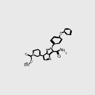 CC(C)(C)OC(=O)N1CCC=C(c2ccnc3c(C(N)=O)n(-c4ccc(Oc5ccccc5)cc4)nc23)C1